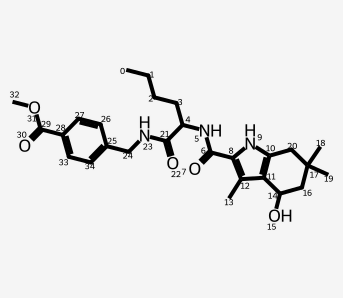 CCCCC(NC(=O)c1[nH]c2c(c1C)C(O)CC(C)(C)C2)C(=O)NCc1ccc(C(=O)OC)cc1